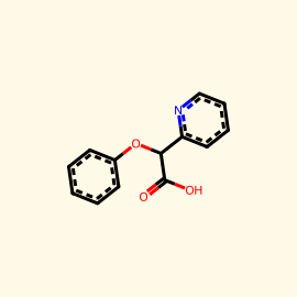 O=C(O)C(Oc1ccccc1)c1ccccn1